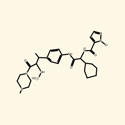 CCn1nccc1C(=O)NC(C(=O)Nc1ccc(C(C)C(NC(=O)O)C(=O)N2CCN(C)CC2)cc1)C1CCCCC1